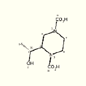 C[C@@H](O)C1CN(C(=O)O)CCN1C(=O)O